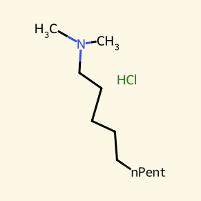 CCCCCCCCCCN(C)C.Cl